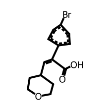 O=C(O)C(=CC1CCOCC1)c1ccc(Br)cc1